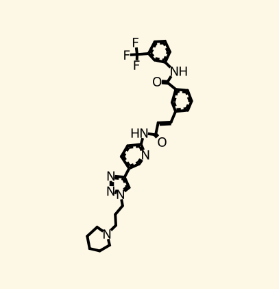 O=C(C=Cc1cccc(C(=O)Nc2cccc(C(F)(F)F)c2)c1)Nc1ccc(-c2cn(CCCN3CCCCC3)nn2)cn1